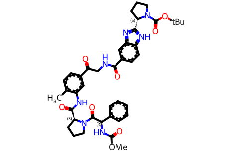 COC(=O)N[C@@H](C(=O)N1CCC[C@H]1C(=O)Nc1cc(C(=O)CNC(=O)c2ccc3[nH]c([C@@H]4CCCN4C(=O)OC(C)(C)C)nc3c2)ccc1C)c1ccccc1